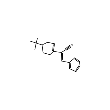 CC(C)(C)C1CC=C(C(C#N)=Cc2ccccc2)CC1